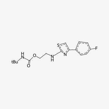 CC(C)(C)NC(=O)OCCNc1nc(-c2ccc(F)cc2)cs1